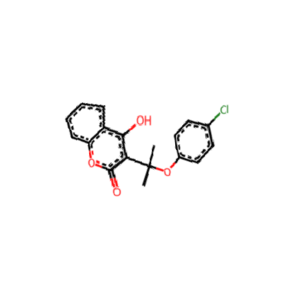 CC(C)(Oc1ccc(Cl)cc1)c1c(O)c2ccccc2oc1=O